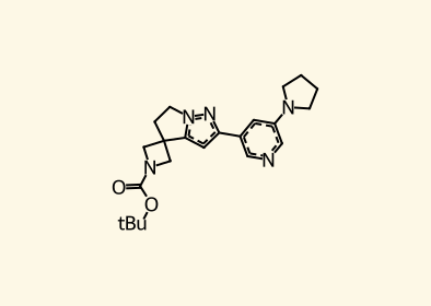 CC(C)(C)OC(=O)N1CC2(CCn3nc(-c4cncc(N5CCCC5)c4)cc32)C1